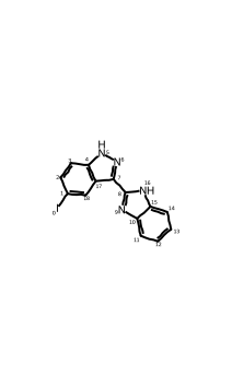 Ic1ccc2[nH]nc(-c3nc4ccccc4[nH]3)c2c1